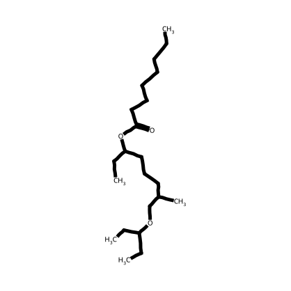 CCCCCCCC(=O)OC(CC)CCCC(C)COC(CC)CC